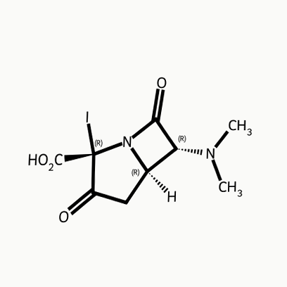 CN(C)[C@H]1C(=O)N2[C@@H]1CC(=O)[C@@]2(I)C(=O)O